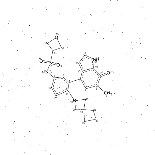 Cn1cc(-c2cc(NS(=O)(=O)C3COC3)ccc2N2CC3(CCC3)C2)c2cc[nH]c2c1=O